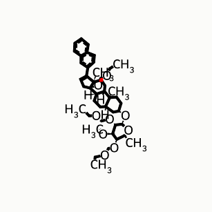 CCOCO[C@@H]1[C@H](O[C@H]2CC[C@@]3(C)[C@H](CC[C@@H]4[C@@H]3CC[C@]3(C)C(c5ccc6ccccc6c5)=CC[C@@]43OCOCC)C2)O[C@@H](C)[C@H](OCOCC)[C@H]1OC